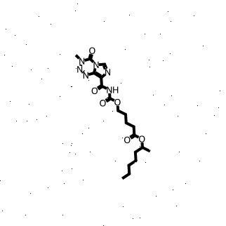 CCCCCC(C)OC(=O)CCCCOC(=O)NC(=O)c1ncn2c(=O)n(C)nnc12